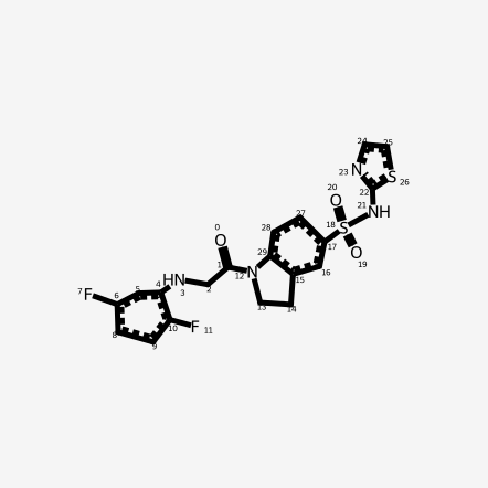 O=C(CNc1cc(F)ccc1F)N1CCc2cc(S(=O)(=O)Nc3nccs3)ccc21